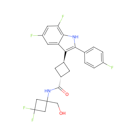 O=C(NC1(CO)CC(F)(F)C1)[C@H]1C[C@H](c2c(-c3ccc(F)cc3)[nH]c3c(F)cc(F)cc32)C1